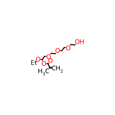 C=C(C)C(=O)OC(COCCOCCOCCO)OCC